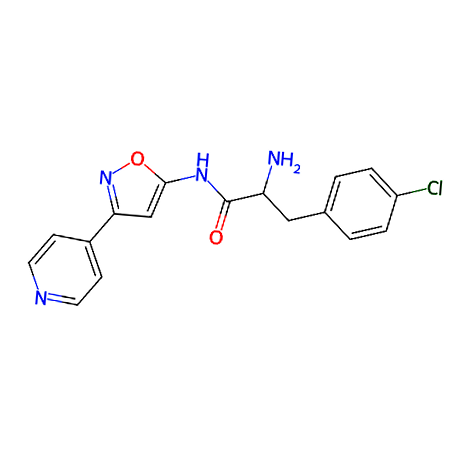 NC(Cc1ccc(Cl)cc1)C(=O)Nc1cc(-c2ccncc2)no1